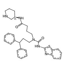 O=C(CCCN(CCC(c1ccccc1)c1ccccc1)C(=O)Nc1nc2ccccc2s1)N[C@@H]1CCCNC1